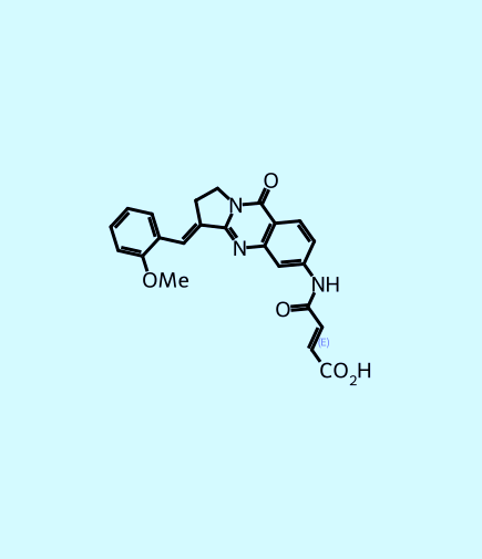 COc1ccccc1C=C1CCn2c1nc1cc(NC(=O)/C=C/C(=O)O)ccc1c2=O